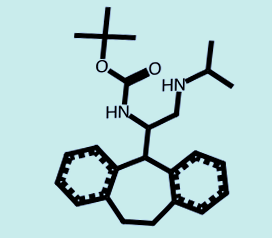 CC(C)NCC(NC(=O)OC(C)(C)C)C1c2ccccc2CCc2ccccc21